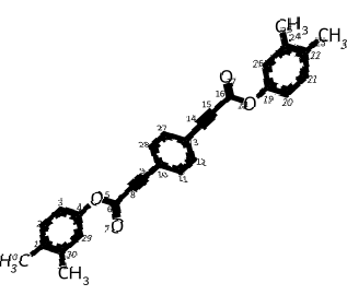 Cc1ccc(OC(=O)C#Cc2ccc(C#CC(=O)Oc3ccc(C)c(C)c3)cc2)cc1C